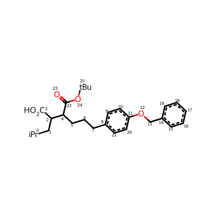 CC(C)CC(C(=O)O)C(CCCc1ccc(OCc2ccccc2)cc1)C(=O)OC(C)(C)C